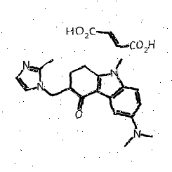 Cc1nccn1CC1CCc2c(c3cc(N(C)C)ccc3n2C)C1=O.O=C(O)C=CC(=O)O